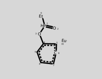 CC[PH](=O)Oc1ccccc1.[Eu]